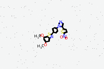 COc1cc(OC)c2sc(-c3ccc(-n4cncc4-c4ccc([N+](=O)[O-])s4)cc3)nc2c1